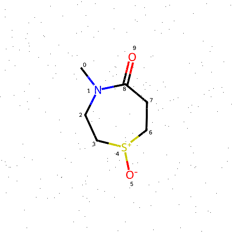 CN1CC[S+]([O-])CCC1=O